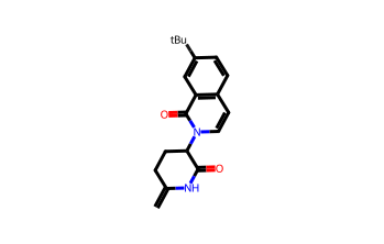 C=C1CCC(n2ccc3ccc(C(C)(C)C)cc3c2=O)C(=O)N1